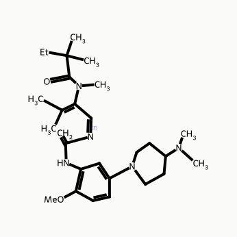 C=C(/N=C\C(=C(C)C)N(C)C(=O)C(C)(C)CC)Nc1cc(N2CCC(N(C)C)CC2)ccc1OC